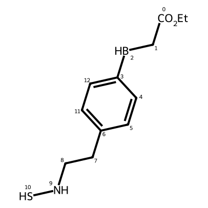 CCOC(=O)CBc1ccc(CCNS)cc1